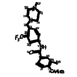 COc1ccc(C(=O)Nc2ccc(CN3CCN(C)CC3)c(C(F)(F)F)c2)cc1I